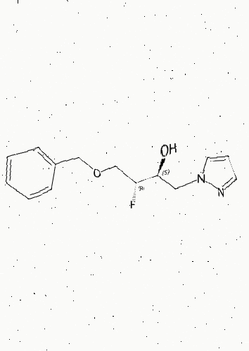 O[C@@H](Cn1cccn1)[C@H](F)COCc1ccccc1